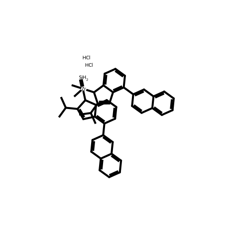 CC(C)C1=Cc2c(-c3ccc4ccccc4c3)cccc2[CH]1[Zr]([CH3])([CH3])(=[SiH2])[CH]1C(C(C)C)=Cc2c(-c3ccc4ccccc4c3)cccc21.Cl.Cl